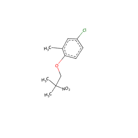 Cc1cc(Cl)ccc1OCC(C)(C)[N+](=O)[O-]